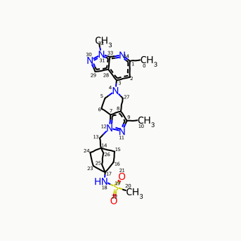 Cc1cc(N2CCc3c(c(C)nn3CC34CCC(NS(C)(=O)=O)(CC3)CC4)C2)c2cnn(C)c2n1